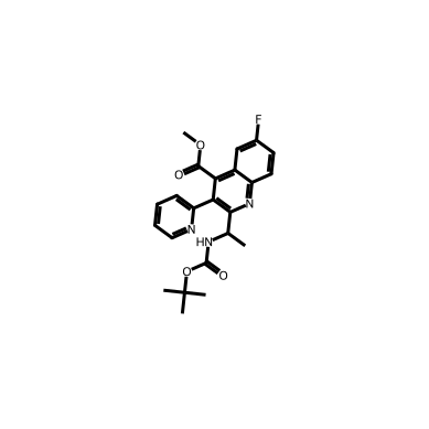 COC(=O)c1c(-c2ccccn2)c(C(C)NC(=O)OC(C)(C)C)nc2ccc(F)cc12